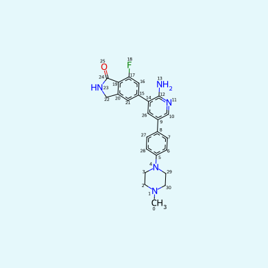 CN1CCN(c2ccc(-c3cnc(N)c(-c4cc(F)c5c(c4)CNC5=O)c3)cc2)CC1